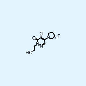 O=c1c(Cl)c(N2C[CH][C@H](F)C2)cnn1CCO